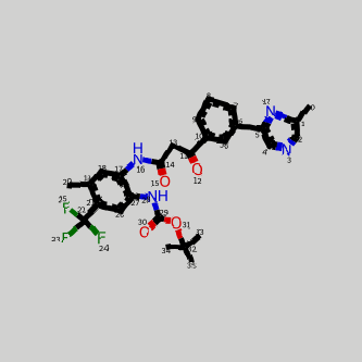 Cc1cncc(-c2cccc(C(=O)CC(=O)Nc3cc(C)c(C(F)(F)F)cc3NC(=O)OC(C)(C)C)c2)n1